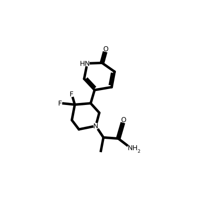 CC(C(N)=O)N1CCC(F)(F)C(c2ccc(=O)[nH]c2)C1